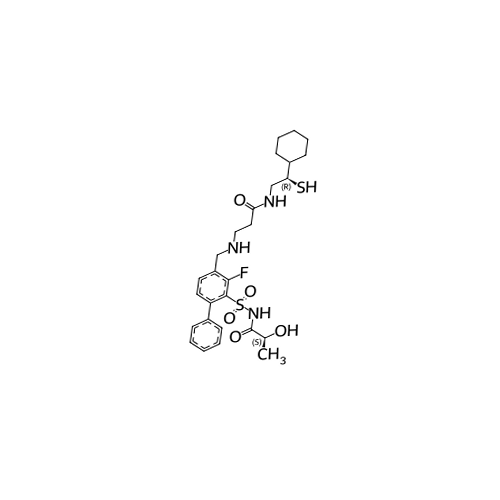 C[C@H](O)C(=O)NS(=O)(=O)c1c(-c2ccccc2)ccc(CNCCC(=O)NC[C@H](S)C2CCCCC2)c1F